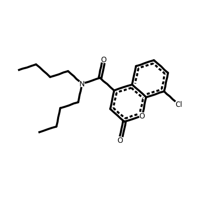 CCCCN(CCCC)C(=O)c1cc(=O)oc2c(Cl)cccc12